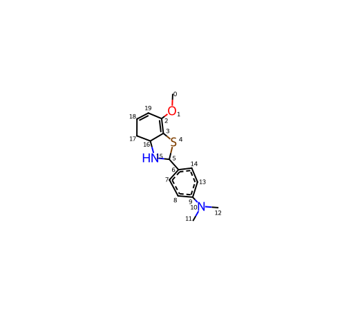 COC1=C2SC(c3ccc(N(C)C)cc3)NC2CC=C1